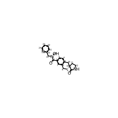 O=C(c1ccc2c(c1)CC[C@@]1(CCNC1=O)C2)N(O)Cc1ccccn1